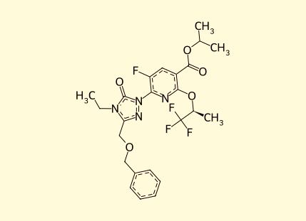 CCn1c(COCc2ccccc2)nn(-c2nc(O[C@@H](C)C(F)(F)F)c(C(=O)OC(C)C)cc2F)c1=O